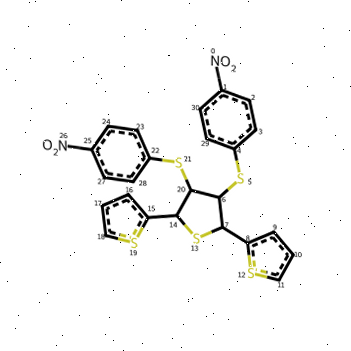 O=[N+]([O-])c1ccc(SC2C(c3cccs3)SC(c3cccs3)C2Sc2ccc([N+](=O)[O-])cc2)cc1